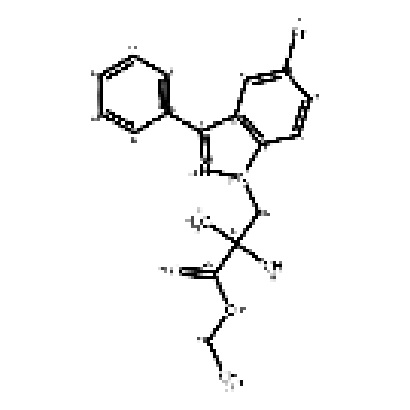 CCc1ccc2c(c1)c(-c1ccccc1)nn2CC(C)(C)C(=O)OCC(F)(F)F